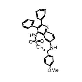 COc1ccc(CNc2ccc3nc(-c4ccccc4)c(-c4ccccc4)c(NS(C)(=O)=O)c3c2)cc1